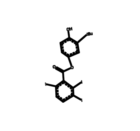 CC(C)(C)c1cc(OC(=O)c2c(I)ccc(I)c2I)ccc1O